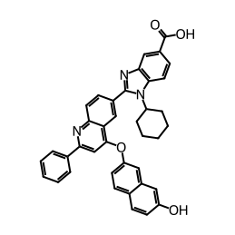 O=C(O)c1ccc2c(c1)nc(-c1ccc3nc(-c4ccccc4)cc(Oc4ccc5ccc(O)cc5c4)c3c1)n2C1CCCCC1